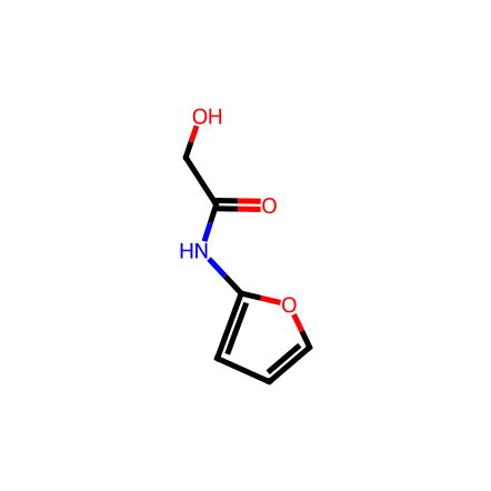 O=C(CO)Nc1ccco1